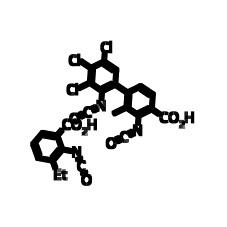 CCc1cccc(C(=O)O)c1N=C=O.Cc1c(-c2cc(Cl)c(Cl)c(Cl)c2N=C=O)ccc(C(=O)O)c1N=C=O